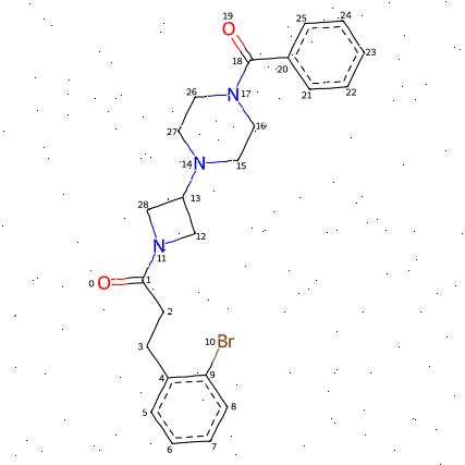 O=C(CCc1ccccc1Br)N1CC(N2CCN(C(=O)c3ccccc3)CC2)C1